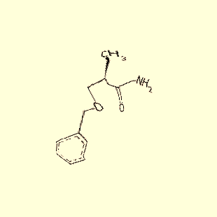 C[C@H](COCc1ccccc1)C(N)=O